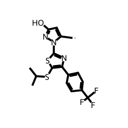 [CH2]c1cc(O)nn1-c1nc(-c2ccc(C(F)(F)F)cc2)c(SC(C)C)s1